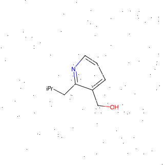 CC(C)Cc1ncccc1CO